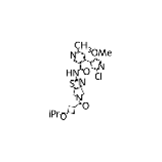 COc1cnc(Cl)cc1-c1cc(C)ncc1C(=O)Nc1nc2c(s1)CN(C(=O)C1CC(OC(C)C)C1)C2